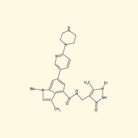 CCC(C)n1cc(C)c2c(C(=O)NCc3c(C)n(CC)[nH]c3=O)cc(-c3ccc(N4CCNCC4)nc3)cc21